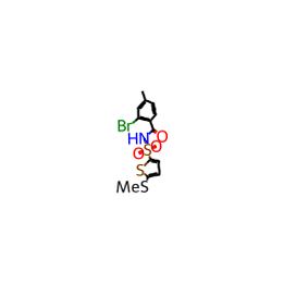 CSc1ccc(S(=O)(=O)NC(=O)c2ccc(C)cc2Br)s1